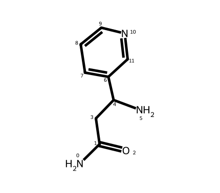 NC(=O)CC(N)c1cccnc1